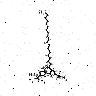 CCCCCCCCCCCCCCCCCCN1c2cc(C(C)(C)C)sc2-c2sc(C(C)(C)C)cc2S1(=O)=O